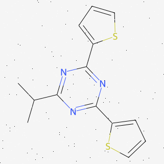 CC(C)c1nc(-c2cccs2)nc(-c2cccs2)n1